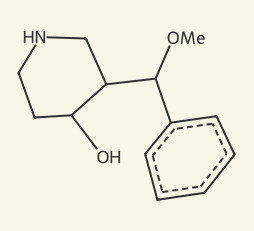 COC(c1ccccc1)C1CNCCC1O